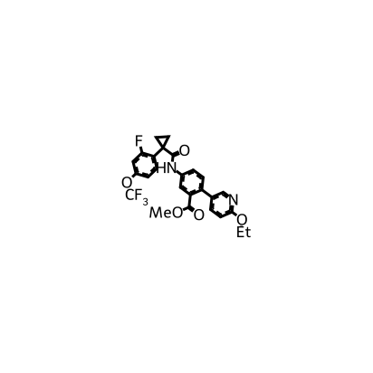 CCOc1ccc(-c2ccc(NC(=O)C3(c4ccc(OC(F)(F)F)cc4F)CC3)cc2C(=O)OC)cn1